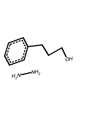 NN.OCCCc1ccccc1